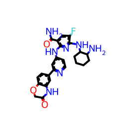 NC(=O)c1cc(F)c(NC2CCCCC2N)nc1Nc1ccnc(-c2ccc3c(c2)NC(=O)CO3)c1